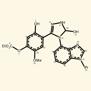 CCOC(=O)Oc1cc(O)c(C2=NNC(O)N2c2cccc3c2ncn3C(C)C)cc1OC